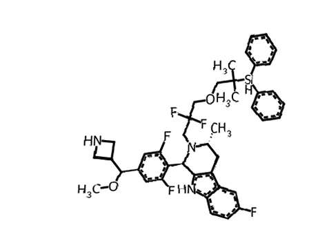 COC(c1cc(F)c([C@@H]2c3[nH]c4ccc(F)cc4c3C[C@@H](C)N2CC(F)(F)COCC(C)(C)[SiH](c2ccccc2)c2ccccc2)c(F)c1)C1CNC1